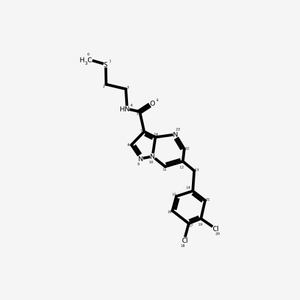 CSCCNC(=O)c1cnn2cc(Cc3ccc(Cl)c(Cl)c3)cnc12